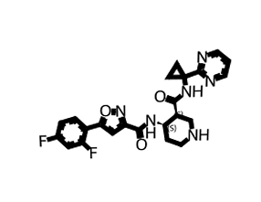 O=C(N[C@H]1CCNC[C@@H]1C(=O)NC1(c2ncccn2)CC1)c1cc(-c2ccc(F)cc2F)on1